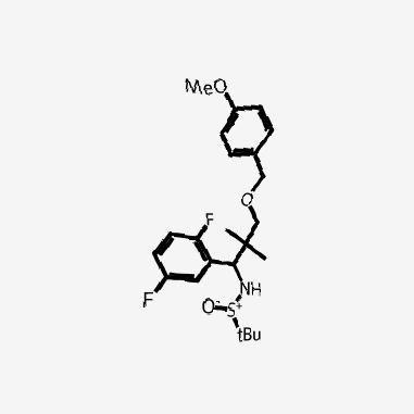 COc1ccc(COCC(C)(C)C(N[S+]([O-])C(C)(C)C)c2cc(F)ccc2F)cc1